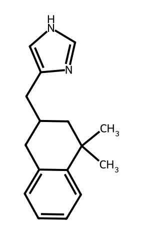 CC1(C)CC(Cc2c[nH]cn2)Cc2ccccc21